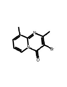 Cc1nc2c(C)cccn2c(=O)c1Br